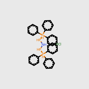 Cl.c1ccc([PH](PNP[PH](c2ccccc2)(c2ccccc2)c2ccccc2)(c2ccccc2)c2ccccc2)cc1